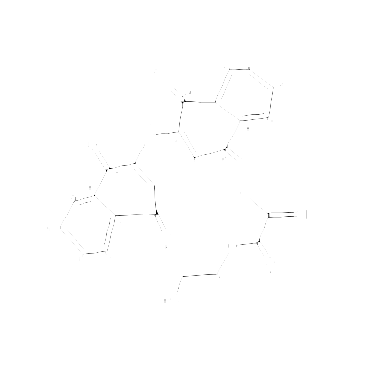 C=C(C)C(=O)OCCO.O=C1C=C(OC2=CC(=O)c3ccccc3C2=O)C(=O)c2ccccc21